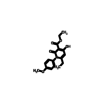 CCOC(=O)c1c(O)cc(CC)n(-c2ccc(OC)cc2)c1=O